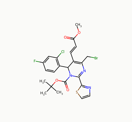 COC(=O)/C=C/C1=C(CBr)N=C(c2nccs2)N(C(=O)OC(C)(C)C)C1c1ccc(F)cc1Cl